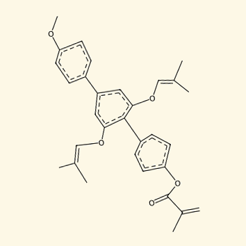 C=C(C)C(=O)Oc1ccc(-c2c(OC=C(C)C)cc(-c3ccc(OC)cc3)cc2OC=C(C)C)cc1